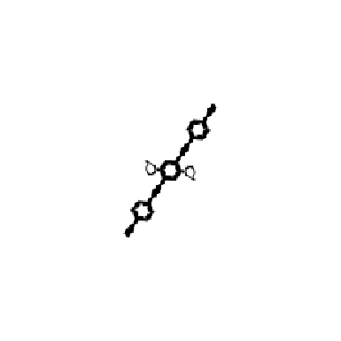 C#Cc1ccc(C#Cc2cc(OC)c(C#Cc3ccc(C#C)cc3)cc2OC)cc1